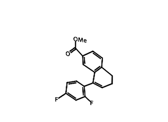 COC(=O)c1ccc2c(c1)C(c1ccc(F)cc1F)=CCC2